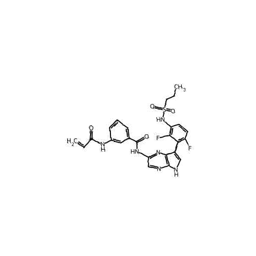 C=CC(=O)Nc1cccc(C(=O)Nc2cnc3[nH]cc(-c4c(F)ccc(NS(=O)(=O)CCC)c4F)c3n2)c1